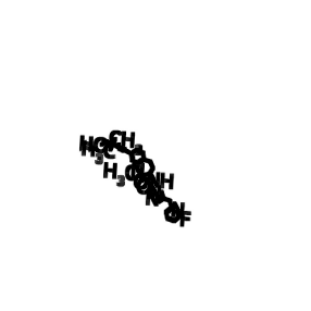 CN1C(=O)[C@H](NC(=O)n2cc(Cc3cccc(F)n3)cn2)CCc2ccc(C#CC(C)(C)CO)cc21